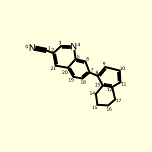 N#Cc1cnc2cc(-c3cccc4c3CCCC4)ccc2c1